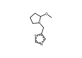 COC1CCCN1Cc1cncs1